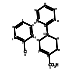 Clc1ncccn1.O=C(O)C1=CCN(c2ncccn2)CC1